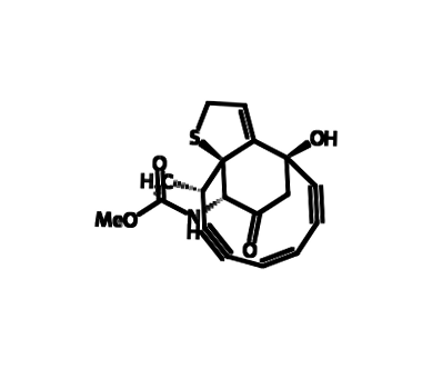 COC(=O)N[C@H]1C(=O)C[C@@]2(O)C#C/C=C\C#C[C@H](C)[C@@]13SCC=C32